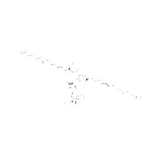 CCCCCCCC/C=C/CCCCC(=O)OC(COC(=O)CCCCCCCCCCCCCC)COP(=O)(O)OCC[N+](C)(C)C